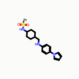 CC(C)S(=O)(=O)NC1CCC(CNc2ccc(-n3cccc3)cc2)CC1